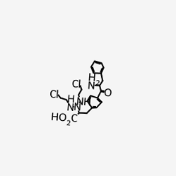 NC(Cc1ccccc1)C(=O)c1ccc(CC(C(=O)O)N(NCCCl)NCCCl)cc1